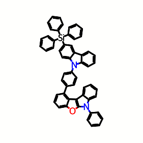 c1ccc(-n2c3ccccc3c3c4c(-c5ccc(-n6c7ccccc7c7cc([Si](c8ccccc8)(c8ccccc8)c8ccccc8)ccc76)cc5)cccc4oc32)cc1